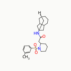 Cc1cccc(S(=O)(=O)N2CCCCC2CC(=O)N[C@@]23CC4CCC[C@@H](CC4C2)C3)c1